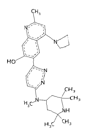 Cc1cc(N2CCC2)c2cc(-c3ccc(N(C)C4CC(C)(C)NC(C)(C)C4)nn3)c(O)cc2n1